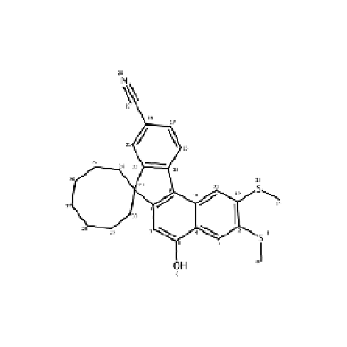 CSc1cc2c(O)cc3c(c2cc1SC)-c1ccc(C#N)cc1C31CCCCCCC1